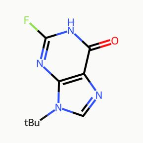 CC(C)(C)n1cnc2c(=O)[nH]c(F)nc21